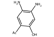 CC(=O)c1cc(N)c(N)cc1O